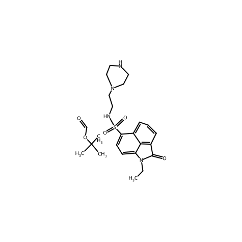 CC(C)(C)OC=O.CCN1C(=O)c2cccc3c(S(=O)(=O)NCCN4CCNCC4)ccc1c23